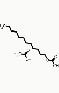 CC(=O)O.CCC=CCCCCCCCCOC(C)=O